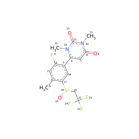 Cc1cc(F)c(-c2cc(=O)n(C)c(=O)n2C)cc1[S+]([O-])CC(F)(F)F